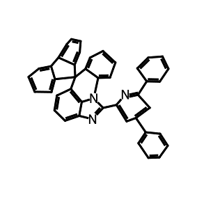 c1ccc(-c2cc(-c3ccccc3)nc(-c3nc4cccc5c4n3-c3ccccc3C53c4ccccc4-c4ccccc43)c2)cc1